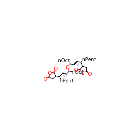 CCCCCCCCC(/C=C/C(CCCCC)C1CC(=O)OC1=O)OC(/C=C/C(CCCCC)C1CC(=O)OC1=O)CCCCCCCC